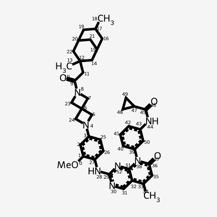 COc1cc(N2CC3(CN(C(=O)CC4(C)CC5CC(C)CC(C5)C4)C3)C2)ccc1Nc1ncc2c(C)cc(=O)n(-c3cccc(NC(=O)C4CC4)c3)c2n1